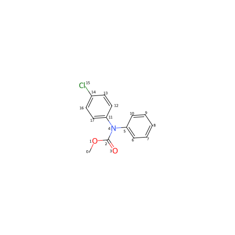 COC(=O)N(c1ccccc1)c1ccc(Cl)cc1